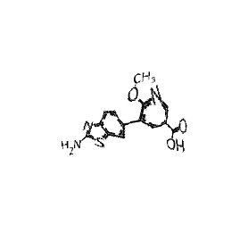 COc1ncc(C(=O)O)cc1-c1ccc2nc(N)sc2c1